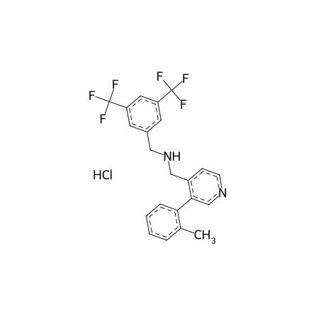 Cc1ccccc1-c1cnccc1CNCc1cc(C(F)(F)F)cc(C(F)(F)F)c1.Cl